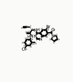 C#CC[C@H](Nc1ncnc2cc(C(=O)N3CC=CC3)c(Br)cc12)C(=C)Nc1ccc(Cl)cc1C